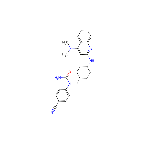 CN(C)c1cc(N[C@H]2CC[C@@H](CN(C(N)=O)c3ccc(C#N)cc3)CC2)nc2ccccc12